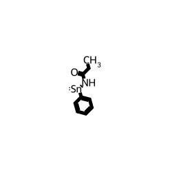 CCC(=O)[NH][Sn][c]1ccccc1